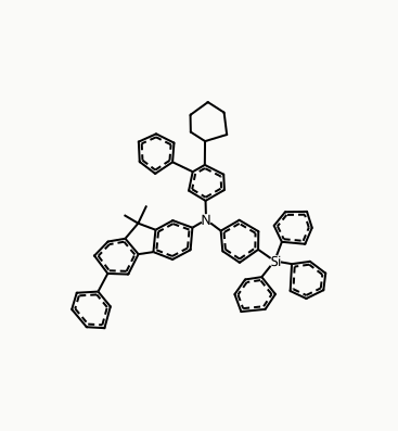 CC1(C)c2ccc(-c3ccccc3)cc2-c2ccc(N(c3ccc([Si](c4ccccc4)(c4ccccc4)c4ccccc4)cc3)c3ccc(C4CCCCC4)c(-c4ccccc4)c3)cc21